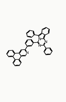 c1ccc(-c2nc(-c3cccc(-c4cc5c6ccccc6c6ccccc6c5cn4)c3)n3c(-c4ccccc4)c4ccccc4c3n2)cc1